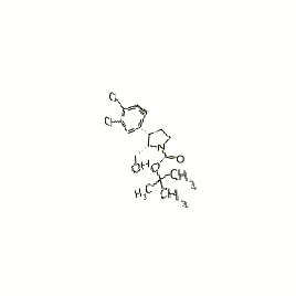 CC(C)(C)OC(=O)N1CC[C@@H](c2ccc(Cl)c(Cl)c2)[C@H]1CO